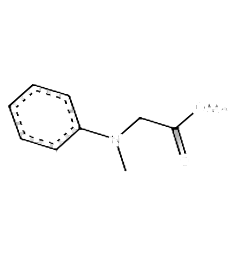 COC(=O)CN(C)c1[c]cccc1